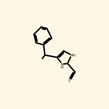 CC(C1=CNC(C=S)N1)c1ccccc1